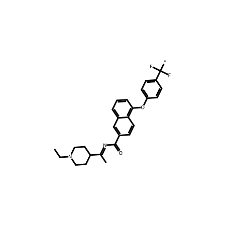 CCN1CCC(/C(C)=N/C(=O)c2ccc3c(Oc4ccc(C(F)(F)F)cc4)cccc3c2)CC1